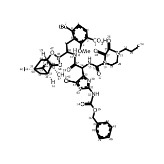 COc1c(C(=O)O)ccc(C(C)(C)C)c1CC(NC(=O)C(NC(=O)N1CCN(CCF)C(=O)C1=O)c1nc(NC(=O)OCc2ccccc2)sc1Cl)B1O[C@@H]2C[C@@H]3C[C@@H](C3(C)C)[C@]2(C)O1